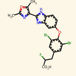 Cc1nc(-c2nc3cc(Oc4c(Br)cc(CC(F)C(=O)O)cc4Br)ccc3[nH]2)c(C)o1